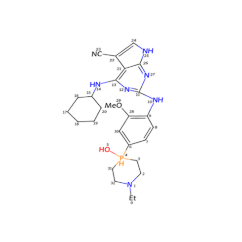 CCN1CC[PH](O)(c2ccc(Nc3nc(NC4CCCCC4)c4c(C#N)c[nH]c4n3)c(OC)c2)CC1